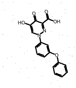 O=C(O)c1nn(-c2cccc(Oc3ccccc3)c2)cc(O)c1=O